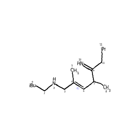 CCC(C)CNC/C(C)=C/C(C)C(=N)CC(C)C